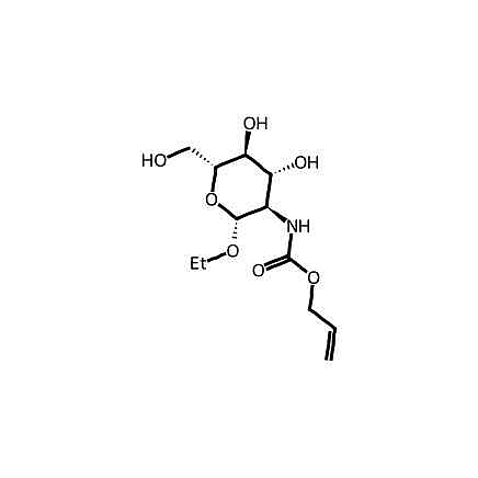 C=CCOC(=O)N[C@H]1[C@H](OCC)O[C@H](CO)[C@@H](O)[C@@H]1O